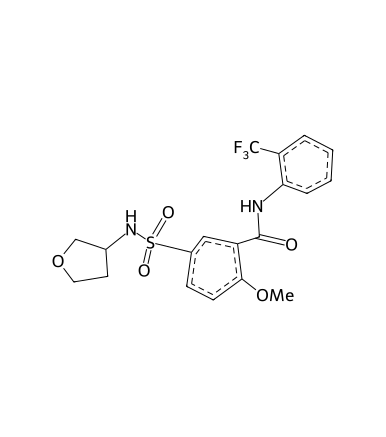 COc1ccc(S(=O)(=O)NC2CCOC2)cc1C(=O)Nc1ccccc1C(F)(F)F